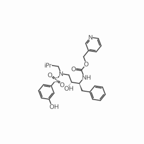 CC(C)CN(C[C@@H](O)[C@H](Cc1ccccc1)NC(=O)OCc1cccnc1)S(=O)(=O)c1cccc(O)c1